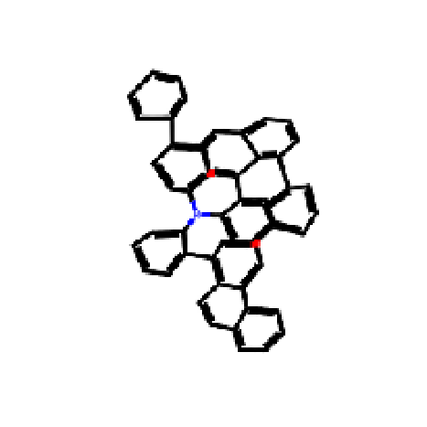 c1ccc(-c2ccc(N(c3ccccc3-c3cccc4c3ccc3ccccc34)c3ccccc3-c3cccc4cccc(-c5ccccc5)c34)cc2)cc1